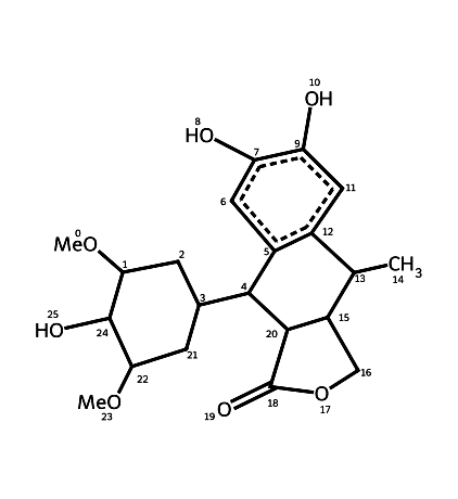 COC1CC(C2c3cc(O)c(O)cc3C(C)C3COC(=O)C32)CC(OC)C1O